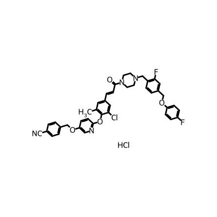 Cc1cc(C=CC(=O)N2CCN(Cc3ccc(COc4ccc(F)cc4)cc3F)CC2)cc(Cl)c1Oc1ccc(OCc2ccc(C#N)cc2)cn1.Cl